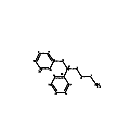 NCCCN(Cc1cccnc1)c1ccccc1